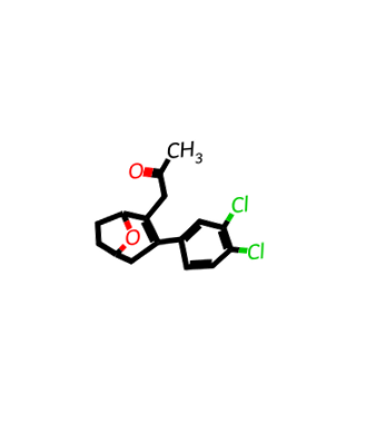 CC(=O)CC1=C(c2ccc(Cl)c(Cl)c2)CC2CCC1O2